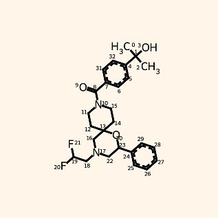 CC(C)(O)c1ccc(C(=O)N2CCC3(CC2)CN(CC(F)F)CC(c2ccccc2)O3)cc1